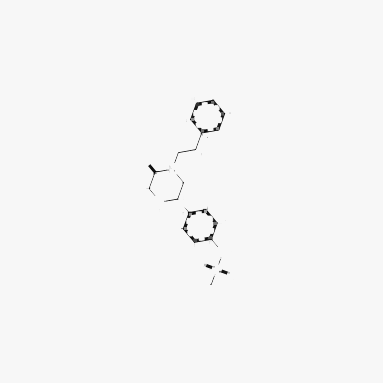 CS(=O)(=O)Oc1ccc([C@@H]2CN(CCc3ccccc3)C(=O)CO2)cc1